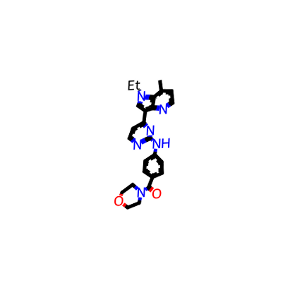 CCn1cc(-c2ccnc(Nc3ccc(C(=O)N4CCOCC4)cc3)n2)c2nccc(C)c21